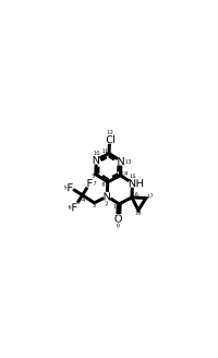 O=C1N(CC(F)(F)F)c2cnc(Cl)nc2NC12CC2